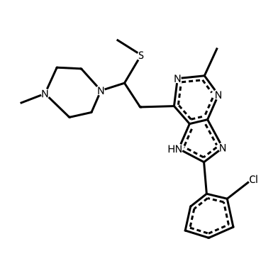 CSC(Cc1nc(C)nc2nc(-c3ccccc3Cl)[nH]c12)N1CCN(C)CC1